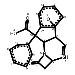 O=C1CC2[SH]=CC(CO)C(C(C(=O)O)(c3ccccc3)c3ccccc3)N12